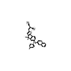 Cc1ccc(N(c2ccc3c(c2)C(C)(C)c2cc(C=C(C#N)C#N)sc2-3)c2ccc3ccccc3c2)cc1